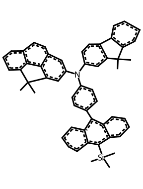 CC1(C)c2ccccc2-c2ccc(N(c3ccc(-c4c5ccccc5c([Si](C)(C)C)c5ccccc45)cc3)c3cc4c5c(ccc6cccc(c65)C4(C)C)c3)cc21